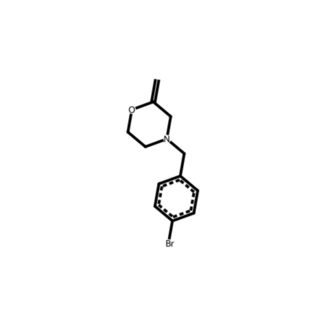 C=C1CN(Cc2ccc(Br)cc2)CCO1